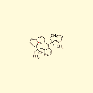 CCC(CC)(c1ccccc1)c1c2ccccc2c(C(C)(CP)c2ccccc2)c2ccccc12